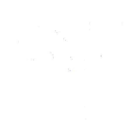 C[C@@H](O)[C@@H](N/C(=N/S(=O)(=O)c1ccc(Cl)cc1)N1C[C@H](C2(C)C=CC=CC2)C(c2ccc(Cl)cc2)=N1)C(N)=O